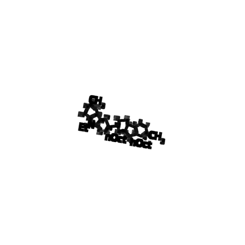 CCCCCCCCC1(CCCCCCCC)c2cc(C)ccc2-c2ccc(-c3ccc4c(c3)c3cc(C)ccc3n4CC)cc21